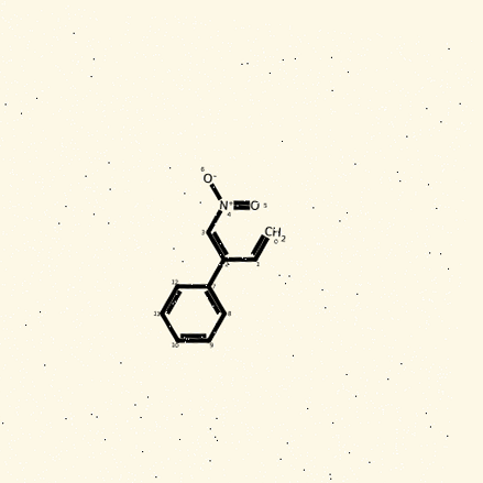 C=CC(=C[N+](=O)[O-])c1ccccc1